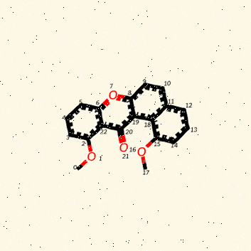 COc1cccc2oc3ccc4cccc(OC)c4c3c(=O)c12